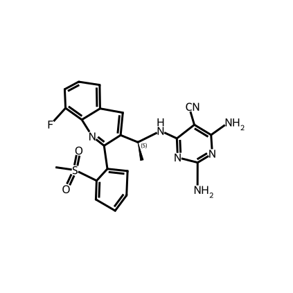 C[C@H](Nc1nc(N)nc(N)c1C#N)c1cc2cccc(F)c2nc1-c1ccccc1S(C)(=O)=O